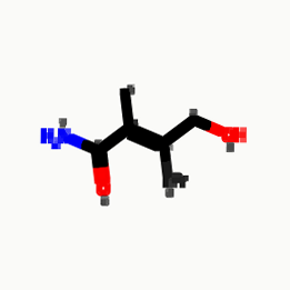 CCC/C(CO)=C(/C)C(N)=O